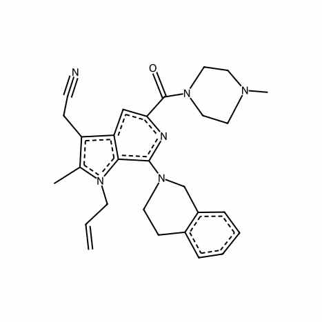 C=CCn1c(C)c(CC#N)c2cc(C(=O)N3CCN(C)CC3)nc(N3CCc4ccccc4C3)c21